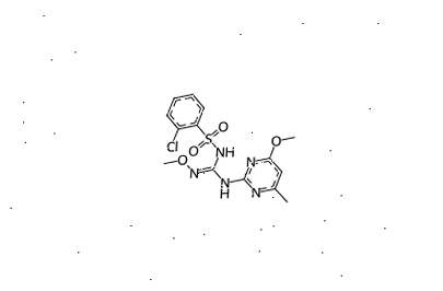 CON=C(Nc1nc(C)cc(OC)n1)NS(=O)(=O)c1ccccc1Cl